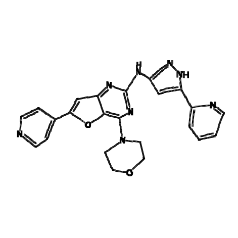 c1ccc(-c2cc(Nc3nc(N4CCOCC4)c4oc(-c5ccncc5)cc4n3)n[nH]2)nc1